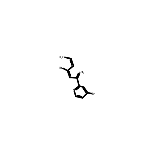 C=C(/C=C(Br)\C=C/C)c1cc(Br)ccn1